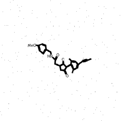 CC#Cc1cc(C)c(C2C(=O)CC(CC(=O)NCc3ccc(OC)cc3)C2=O)c(C)c1